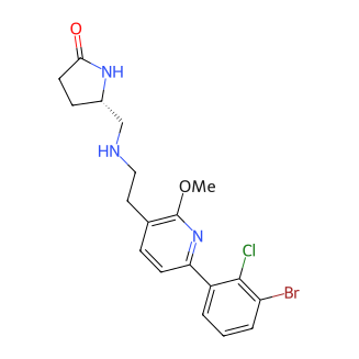 COc1nc(-c2cccc(Br)c2Cl)ccc1CCNC[C@@H]1CCC(=O)N1